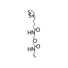 C=CCNC(=O)COCCNC(=O)CCCC[C@@H]1CCSS1